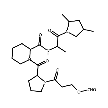 CC1CC(C)N(C(=O)C(C)NC(=O)C2CCCCN2C(=O)C2CCCN2C(=O)CCOC=O)C1